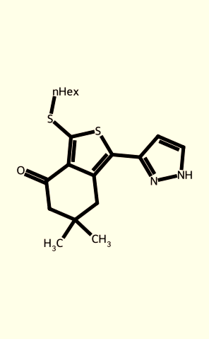 CCCCCCSc1sc(-c2cc[nH]n2)c2c1C(=O)CC(C)(C)C2